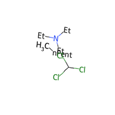 CCCCCC.CCN(CC)CC.ClC(Cl)Cl